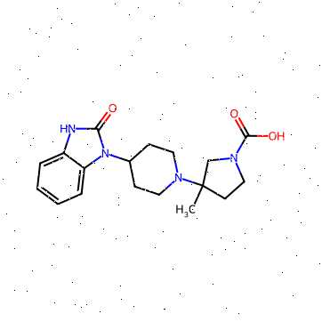 CC1(N2CCC(n3c(=O)[nH]c4ccccc43)CC2)CCN(C(=O)O)C1